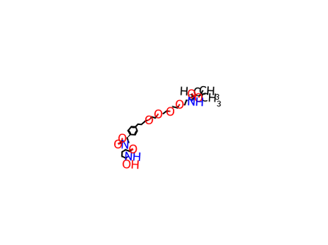 CC(C)(C)OC(=O)NCCOCCOCCOCCOCCCc1ccc([C@H]2CN(C3CCC(O)NC3=O)C(=O)O2)cc1